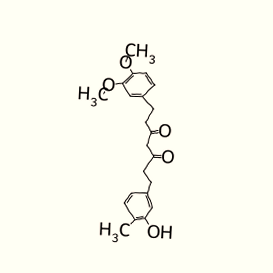 COc1ccc(CCC(=O)CC(=O)CCc2ccc(C)c(O)c2)cc1OC